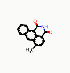 Cc1ccc2c3c(c4ccccc4cc13)C(=O)NC2=O